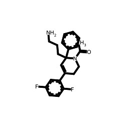 CC(=O)N1CCC(c2cc(F)ccc2F)=CC1(CCCN)c1ccccc1